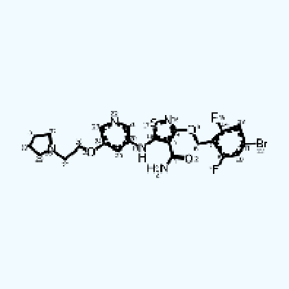 NC(=O)c1c(OCc2c(F)cc(Br)cc2F)nsc1Nc1cncc(OCCN2CCCC2)c1